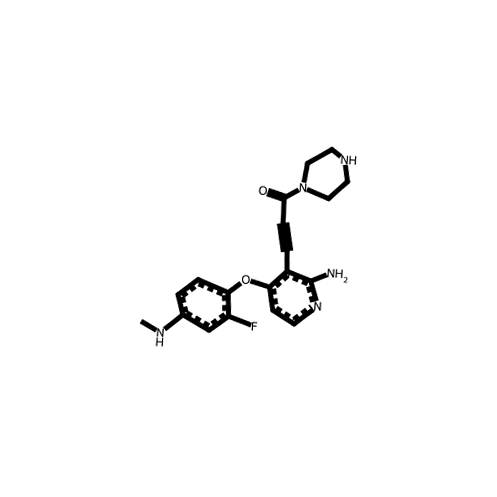 CNc1ccc(Oc2ccnc(N)c2C#CC(=O)N2CCNCC2)c(F)c1